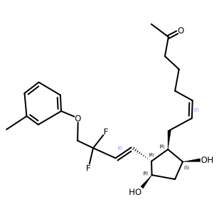 CC(=O)CCC/C=C\C[C@@H]1[C@@H](/C=C/C(F)(F)COc2cccc(C)c2)[C@H](O)C[C@@H]1O